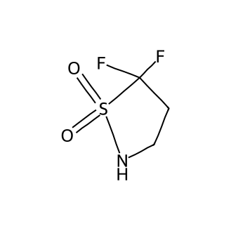 O=S1(=O)NCCC1(F)F